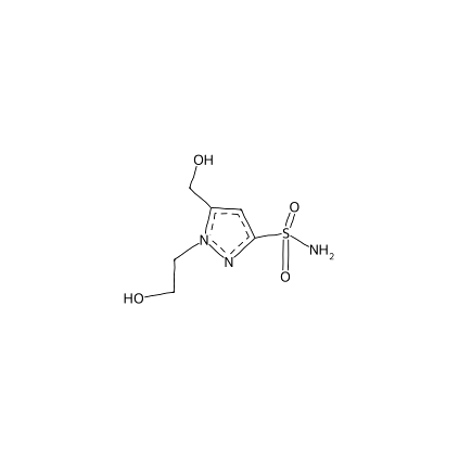 NS(=O)(=O)c1cc(CO)n(CCO)n1